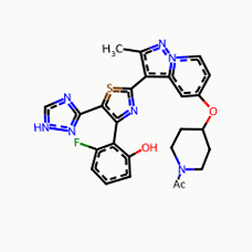 CC(=O)N1CCC(Oc2ccn3nc(C)c(-c4nc(-c5c(O)cccc5F)c(-c5nc[nH]n5)s4)c3c2)CC1